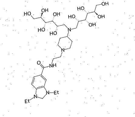 CCN1CN(CC)c2cc(C(=O)NCCN3CCC(N(C[C@H](O)[C@@H](O)[C@H](O)[C@H](O)CO)C[C@H](O)[C@@H](O)[C@H](O)[C@H](O)CO)CC3)ccc21